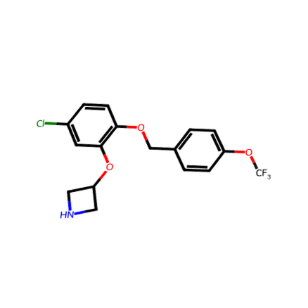 FC(F)(F)Oc1ccc(COc2ccc(Cl)cc2OC2CNC2)cc1